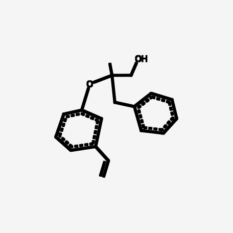 C=Cc1cccc(OC(C)(CO)Cc2ccccc2)c1